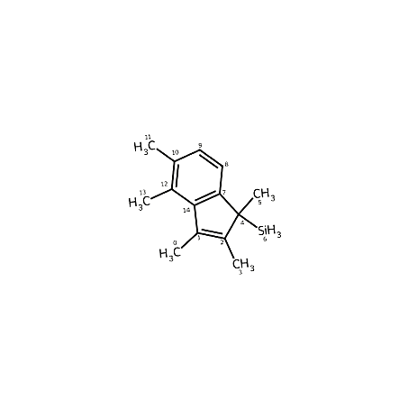 CC1=C(C)C(C)([SiH3])c2ccc(C)c(C)c21